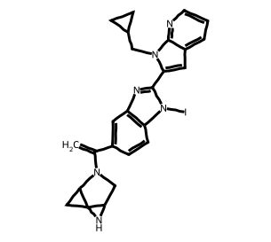 C=C(c1ccc2c(c1)nc(-c1cc3cccnc3n1CC1CC1)n2I)N1CC2NC23CC13